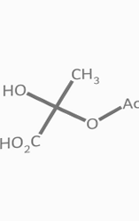 CC(=O)OC(C)(O)C(=O)O